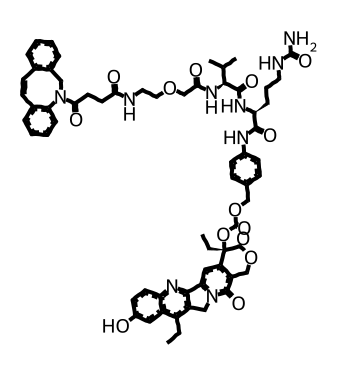 CCc1c2c(nc3ccc(O)cc13)-c1cc3c(c(=O)n1C2)COC(=O)[C@@]3(CC)OC(=O)OCc1ccc(NC(=O)[C@H](CCCNC(N)=O)NC(=O)[C@@H](NC(=O)COCCNC(=O)CCC(=O)N2Cc3ccccc3/C=C\c3ccccc32)C(C)C)cc1